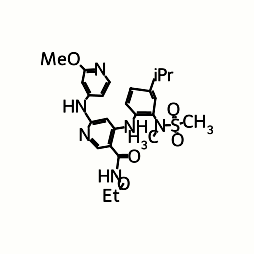 CCONC(=O)c1cnc(Nc2ccnc(OC)c2)cc1Nc1ccc(C(C)C)cc1N(C)S(C)(=O)=O